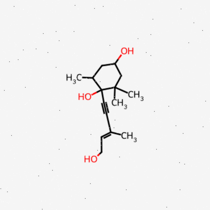 C/C(C#CC1(O)C(C)CC(O)CC1(C)C)=C\CO